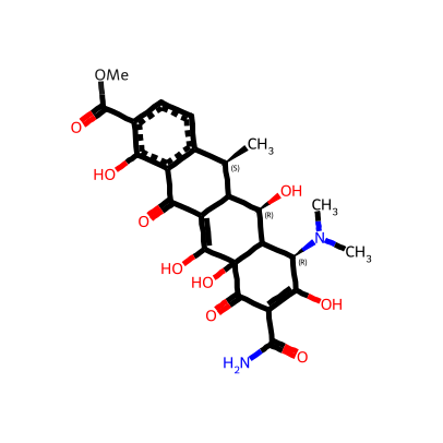 COC(=O)c1ccc2c(c1O)C(=O)C1=C(O)C3(O)C(=O)C(C(N)=O)=C(O)[C@H](N(C)C)C3[C@H](O)C1[C@@H]2C